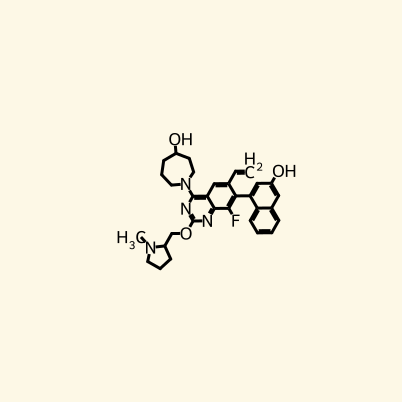 C=Cc1cc2c(N3CCCC(O)CC3)nc(OCC3CCCN3C)nc2c(F)c1-c1cc(O)cc2ccccc12